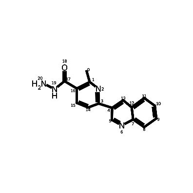 Cc1nc(-c2cnc3ccccc3c2)ccc1C(=O)NN